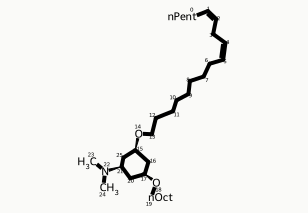 CCCCC/C=C\C/C=C\CCCCCCCCO[C@H]1C[C@@H](OCCCCCCCC)C[C@@H](N(C)C)C1